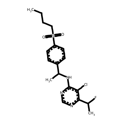 CCCCS(=O)(=O)c1ccc(C(C)Nc2ncnc(C(C)F)c2Cl)cc1